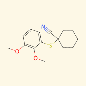 COc1cccc(SC2(C#N)CCCCC2)c1OC